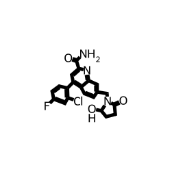 NC(=O)c1cc(-c2ccc(F)cc2Cl)c2ccc(CN3C(=O)CCC3O)cc2n1